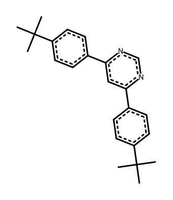 CC(C)(C)c1ccc(-c2cc(-c3ccc(C(C)(C)C)cc3)ncn2)cc1